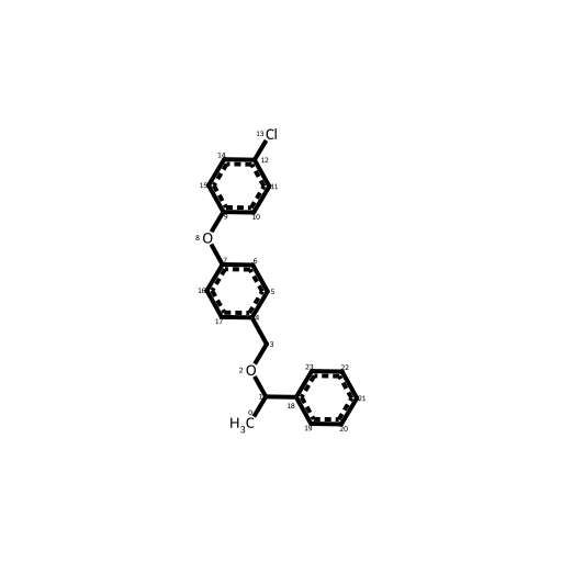 CC(OCc1ccc(Oc2ccc(Cl)cc2)cc1)c1ccccc1